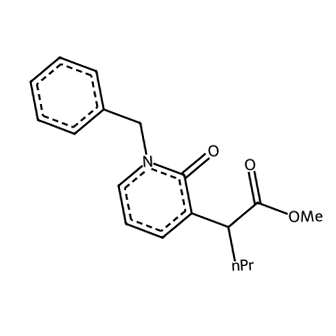 CCCC(C(=O)OC)c1cccn(Cc2ccccc2)c1=O